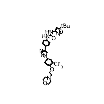 CC(C)(C)c1cc(NC(=O)Nc2ccc(-c3cn(-c4ccc(OCCN5CCOCC5)c(C(F)(F)F)c4)nn3)cc2)no1